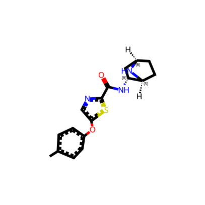 Cc1ccc(Oc2cnc(C(=O)N[C@@H]3C[C@H]4CC[C@@H]3N4)s2)cc1